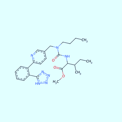 CCCCN(Cc1ccc(-c2ccccc2-c2nnn[nH]2)nc1)C(=O)NC(C(=O)OC)C(C)CC